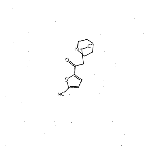 N#Cc1ccc(C(=O)CC2CC3CC[N+]2CC3)s1